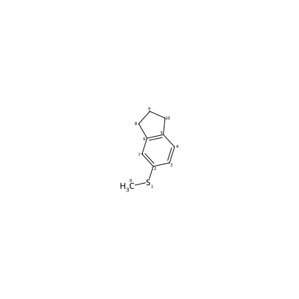 CSc1ccc2c(c1)CCC2